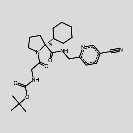 CC(C)(C)OC(=O)NCC(=O)N1CCC[C@]1(C(=O)NCc1ccc(C#N)cn1)C1CCCCC1